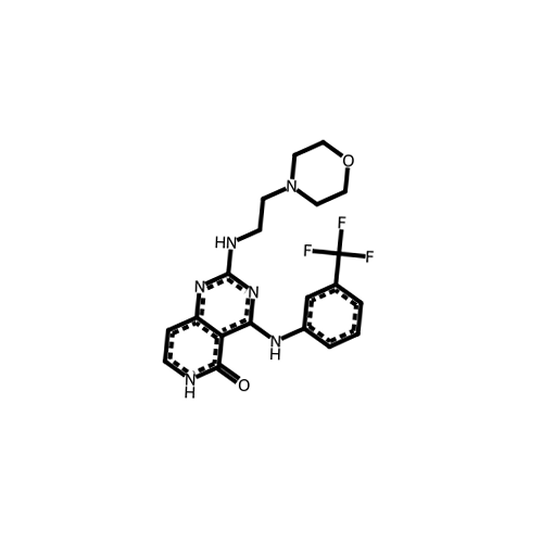 O=c1[nH]ccc2nc(NCCN3CCOCC3)nc(Nc3cccc(C(F)(F)F)c3)c12